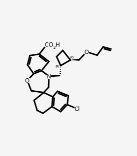 C=CCOC[C@@H]1CC[C@H]1CN1CC2(CCCc3cc(Cl)ccc32)COc2ccc(C(=O)O)cc21